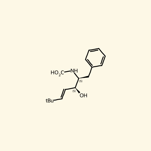 CC(C)(C)C=C[C@H](O)[C@H](Cc1ccccc1)NC(=O)O